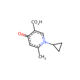 Cc1cc(=O)c(C(=O)O)cn1C1CC1